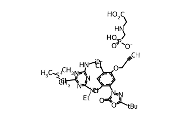 C#CCOc1cc(-n2nc(C(C)(C)C)oc2=O)c(Cl)cc1Cl.CCNc1nc(Cl)nc(NC(C)C)n1.C[S+](C)C.O=C(O)CNCP(=O)([O-])O